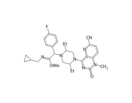 CCC1CN(C(/C(=N/CC2CC2)OC)c2ccc(F)cc2)C(CC)CN1c1nc(=O)n(C)c2ccc(C#N)nc12